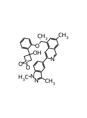 Cc1cc([C@@H](C)Oc2ccccc2C2(O)CS(=O)(=O)C2)c2cc(-c3ccc4c(c3)c(C)nn4C)ncc2c1